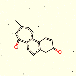 Cc1ccc2c3c(ccc2c(=O)c1)CC(=O)C=C3